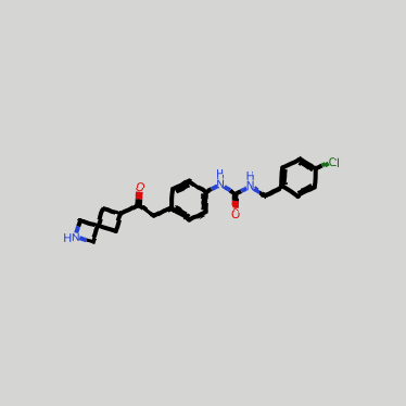 O=C(NCc1ccc(Cl)cc1)Nc1ccc(CC(=O)C2CC3(CNC3)C2)cc1